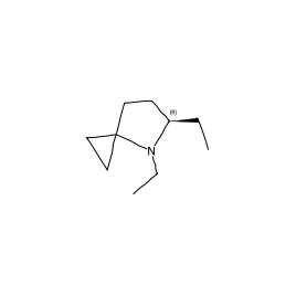 CC[C@@H]1CCC2(CC2)N1CC